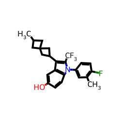 Cc1cc(-n2c(C(F)(F)F)c(C3CC4(CC(C)C4)C3)c3cc(O)ccc32)ccc1F